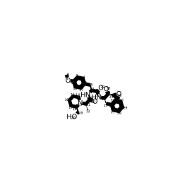 COc1ccc(C[C@H](NC(=O)[C@H](C)N2CCCC[C@@H]2CO)C(=O)N[C@@H](Cc2ccccc2)C(=O)[C@H]2CO2)cc1